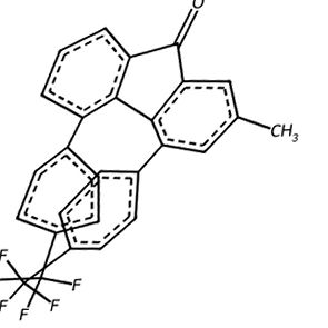 Cc1cc2c(c(-c3ccc(C(F)(F)F)cc3)c1)-c1c(cccc1-c1ccc(C(F)(F)F)cc1)C2=O